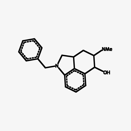 CNC1CC2CN(Cc3ccccc3)c3cccc(c32)C1O